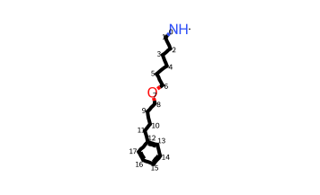 [NH]CCCCCCOCCCCc1ccccc1